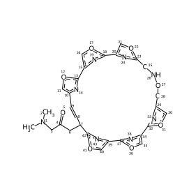 CN(C)CC(=O)CC1/C=C/c2coc(n2)-c2coc(n2)-c2coc(n2)CNOCc2coc(n2)-c2coc(n2)-c2coc1n2